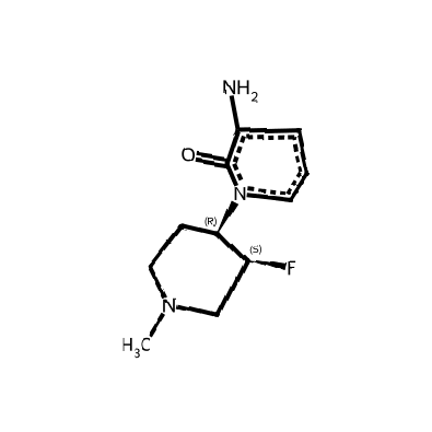 CN1CC[C@@H](n2cccc(N)c2=O)[C@@H](F)C1